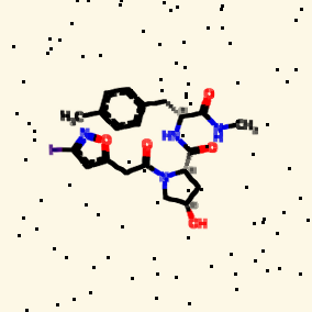 CNC(=O)[C@@H](Cc1ccc(C)cc1)NC(=O)[C@@H]1C[C@@H](O)CN1C(=O)Cc1cc(I)no1